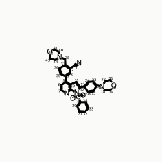 N#Cc1cc(-c2ccnc3c2cc(-c2ccc(N4CCOCC4)cc2)n3S(=O)(=O)c2ccccc2)ccc1CN1CCOCC1